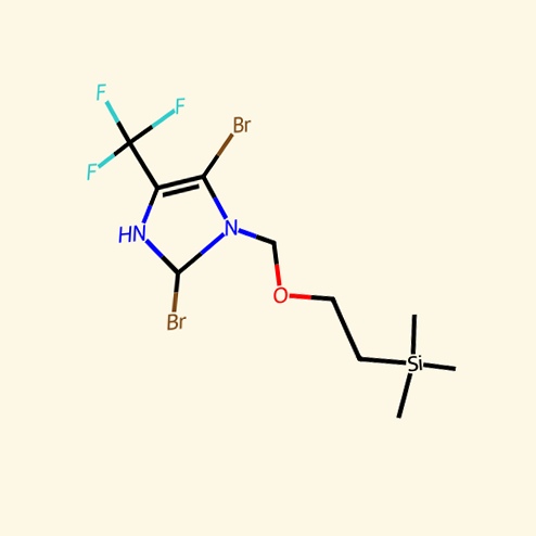 C[Si](C)(C)CCOCN1C(Br)=C(C(F)(F)F)NC1Br